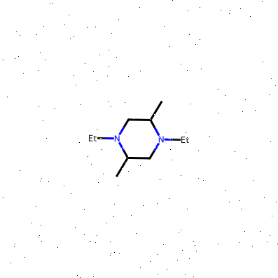 CCN1CC(C)N(CC)CC1C